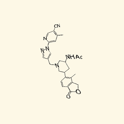 CC(=O)NC1CC(c2ccc3c(c2C)COC3=O)CN(Cc2cnn(-c3cc(C)c(C#N)cn3)c2)C1